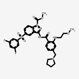 COCCNc1cc(CN2CCCC2)ccc1C(=O)Nc1nn(C(=O)OC)c2ccc(S(=O)(=O)c3cc(F)cc(F)c3)cc12